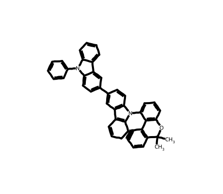 CC1(C)Oc2cccc(-n3c4c(c5cc(-c6ccc7c(c6)c6ccccc6n7-c6ccccc6)ccc53)C=CCC4)c2-c2c#cccc21